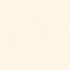 CCn1c2ccccc2c2cc(-c3nc4cc(C(=O)O)ccc4n3CC3CC3)cnc21